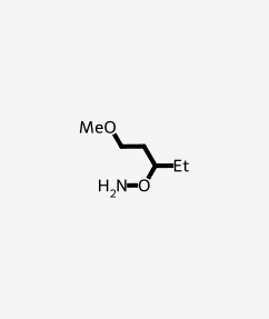 CCC(CCOC)ON